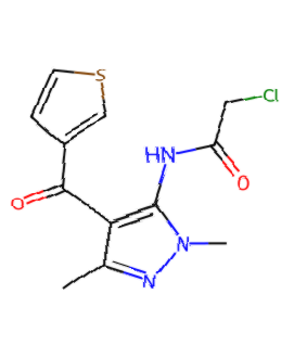 Cc1nn(C)c(NC(=O)CCl)c1C(=O)c1ccsc1